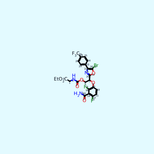 CCOC(=O)CNC(=O)OCC(Oc1ccc(F)c(C(N)=O)c1F)c1nc(-c2ccc(C(F)(F)F)cc2)c(Br)o1